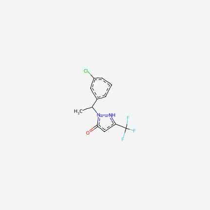 CC(c1cccc(Cl)c1)n1[nH]c(C(F)(F)F)cc1=O